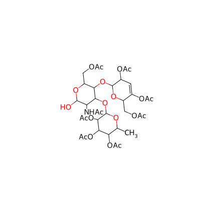 CC(=O)NC1C(O)OC(COC(C)=O)C(OC2OC(COC(C)=O)C(OC(C)=O)=CC2OC(C)=O)C1OC1OC(C)C(OC(C)=O)C(OC(C)=O)C1OC(C)=O